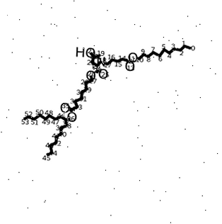 CCCCCCCCCCCOC(=O)CCCCN1CC(O)C[C@H]1C(=O)OCCCCCCCC(=O)OC(CCCCCCCC)CCCCCCCC